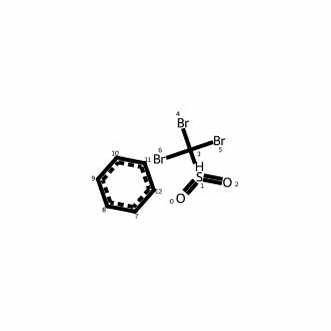 O=[SH](=O)C(Br)(Br)Br.c1ccccc1